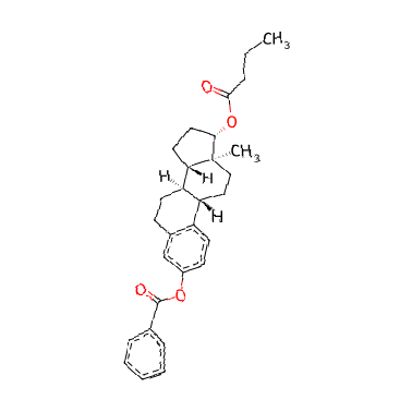 CCCC(=O)O[C@H]1CC[C@H]2[C@@H]3CCc4cc(OC(=O)c5ccccc5)ccc4[C@H]3CC[C@]12C